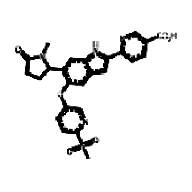 CN1C(=O)CCC1c1cc2[nH]c(-c3ccc(C(=O)O)cn3)cc2cc1Oc1ccc(S(C)(=O)=O)nc1